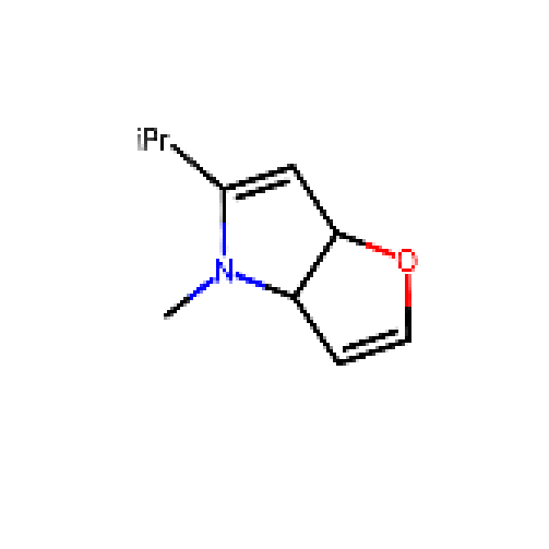 CC(C)C1=CC2OC=CC2N1C